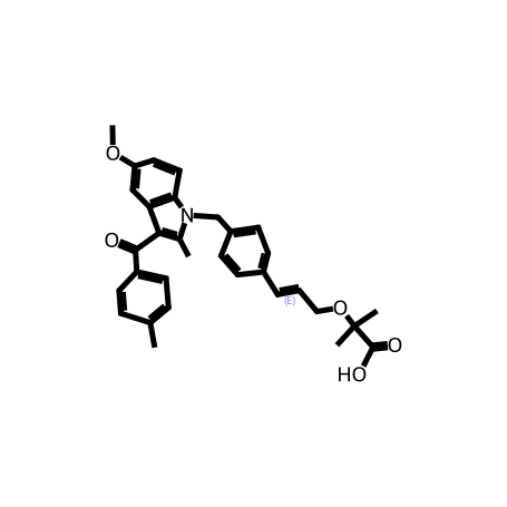 COc1ccc2c(c1)c(C(=O)c1ccc(C)cc1)c(C)n2Cc1ccc(/C=C/COC(C)(C)C(=O)O)cc1